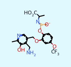 Cc1ncc(COc2cc(OC(F)(F)F)ccc2O/[P+]([O-])=N/C(C)C(=O)O)c(CN)c1O